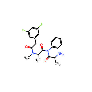 C[C@H](N)C(=O)N(C(=O)[C@H](C)N(C)C(=O)Cc1cc(F)cc(F)c1)c1ccccc1